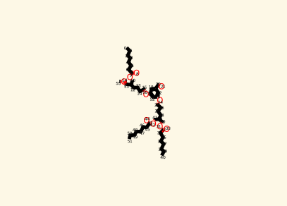 CCCCCCCC(=O)OCC(CCCCOc1cc(C=O)cc(OCCCCC(COC(=O)CCCCCCC)COC(=O)CCCCCCC)c1)COC